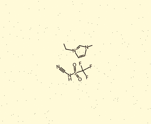 CC[n+]1ccn(C)c1.N#CNS(=O)(=O)C(F)(F)F